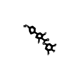 CCCc1ccc(-c2cc(F)c(C(=O)Oc3cc(F)c(F)c(F)c3)c(F)c2)cc1